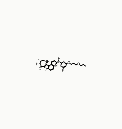 CCCOCCCOc1cc(F)nc(Nc2ccc3c(ccc4sc5c(c43)NC[C@@H](C)NC5=O)n2)n1